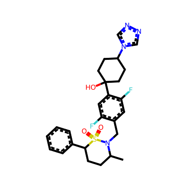 CC1CCC(c2ccccc2)S(=O)(=O)N1Cc1cc(F)c(C2(O)CCC(n3cnnc3)CC2)cc1F